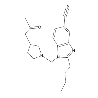 CCCCc1nc2cc(C#N)ccc2n1CN1CCC(CC(C)=O)C1